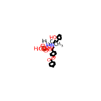 CC(C)(CCc1ccccc1O)NCC(O)c1ccc(OC(=O)c2ccccc2)cc1.O=S(=O)(O)O